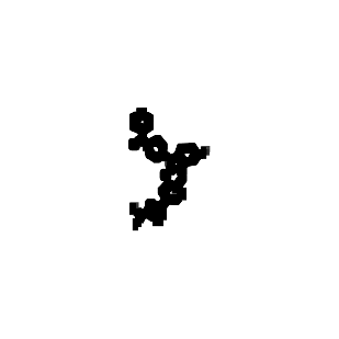 O=C(c1ccncc1)N1CCC(n2c(=O)n(Cc3ccc(-c4nnc(C(F)F)o4)cn3)c3cc(F)ccc32)CC1